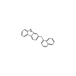 c1ccc2c(Cc3ccc4c(c3)sc3ccccc34)cccc2c1